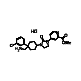 COC(=O)c1cc(N2CCN(C3CCC(CN)(c4cccc(Cl)c4)CC3)C2=O)ccn1.Cl